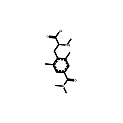 CNC(Cc1c(C)cc(C(=O)N(C)C)cc1C)C(=O)O